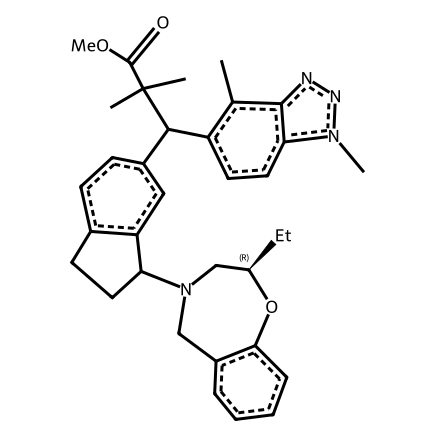 CC[C@@H]1CN(C2CCc3ccc(C(c4ccc5c(nnn5C)c4C)C(C)(C)C(=O)OC)cc32)Cc2ccccc2O1